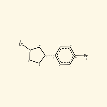 CCN1CC[C@@H](c2ccc(Br)cc2)C1